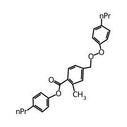 CCCc1ccc(OOCc2ccc(C(=O)Oc3ccc(CCC)cc3)c(C)c2)cc1